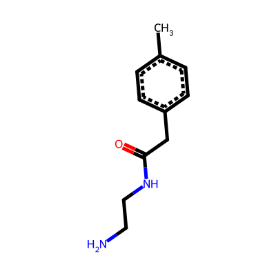 Cc1ccc(CC(=O)NCCN)cc1